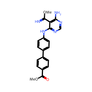 COC(=N)c1c(N)ncnc1Nc1ccc(-c2ccc(C(=O)OC)cc2)cc1